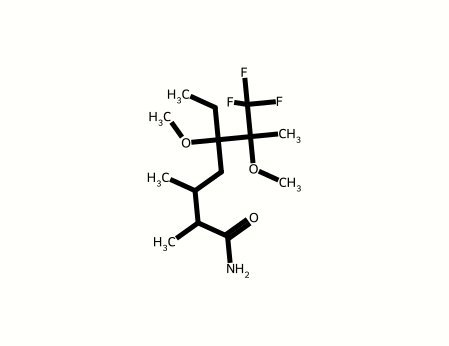 CCC(CC(C)C(C)C(N)=O)(OC)C(C)(OC)C(F)(F)F